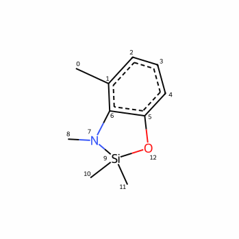 Cc1cccc2c1N(C)[Si](C)(C)O2